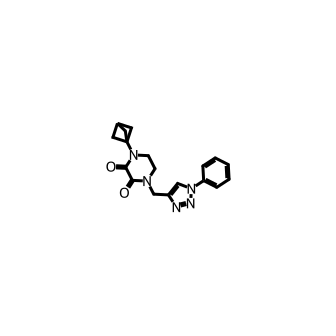 O=C1C(=O)N(C23CC(C2)C3)CCN1Cc1cn(-c2ccccc2)nn1